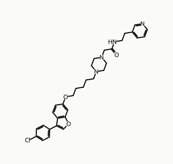 O=C(CN1CCN(CCCCCOc2ccc3c(-c4ccc(Cl)cc4)coc3c2)CC1)NCCc1cccnc1